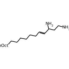 CCCCCCCCCCCCCCC=CC(N)CCN